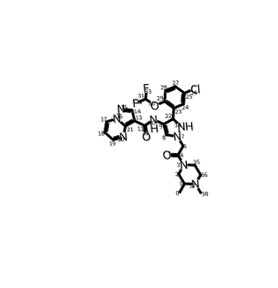 CC1CN(C(=O)CN2C=C(NC(=O)c3cnn4cccnc34)C(c3cc(Cl)ccc3OC(F)F)N2)CCN1C